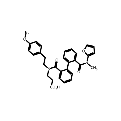 CCOc1ccc(CCN(CCC(=O)O)C(=O)c2ccccc2-c2ccccc2C(=O)N(C)c2ccco2)cc1